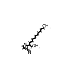 CCCCCCCCCCCC(CC)c1nccn1C#N